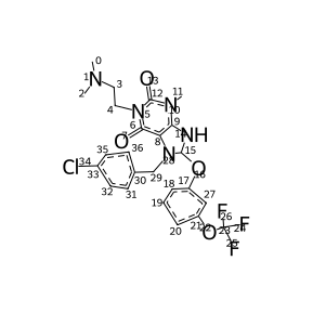 CN(C)CCn1c(=O)c2c(n(C)c1=O)NC(Oc1cccc(OC(F)(F)F)c1)N2Cc1ccc(Cl)cc1